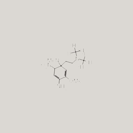 [2H]C([2H])([2H])N(CCC1(NC)C=C(OC)C(N)=CC1[N+](=O)[O-])C([2H])([2H])[2H]